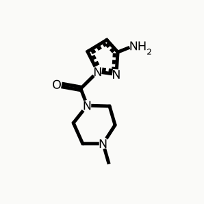 CN1CCN(C(=O)n2ccc(N)n2)CC1